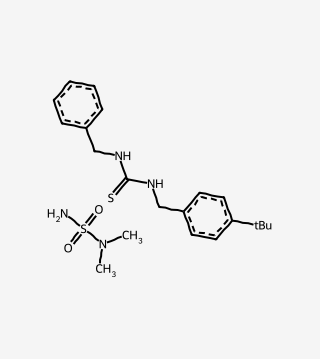 CC(C)(C)c1ccc(CNC(=S)NCc2ccccc2)cc1.CN(C)S(N)(=O)=O